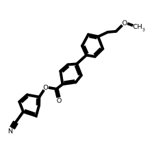 COCCc1ccc(-c2ccc(C(=O)Oc3ccc(C#N)cc3)cc2)cc1